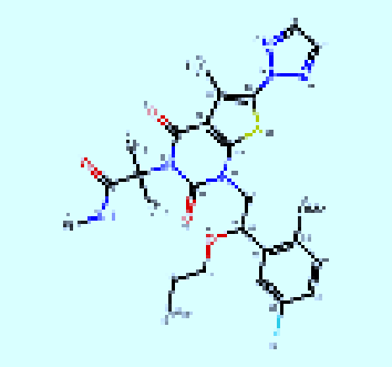 CCNC(=O)C(C)(C)n1c(=O)c2c(C)c(-n3nccn3)sc2n(C[C@H](OCCOC)c2cc(F)ccc2OC)c1=O